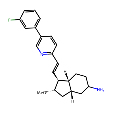 CO[C@H]1C[C@H]2CC(N)CC[C@H]2[C@@H]1C=Cc1ccc(-c2cccc(F)c2)cn1